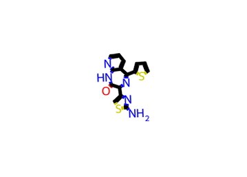 Nc1nc(C2N=C(c3cccs3)c3cccnc3NC2=O)cs1